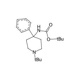 CC(C)(C)OC(=O)NC1(c2ccccc2)CCN(C(C)(C)C)CC1